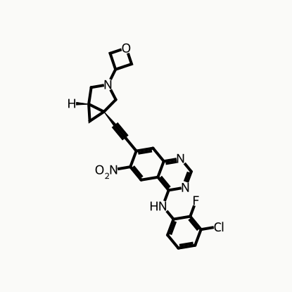 O=[N+]([O-])c1cc2c(Nc3cccc(Cl)c3F)ncnc2cc1C#C[C@@]12C[C@@H]1CN(C1COC1)C2